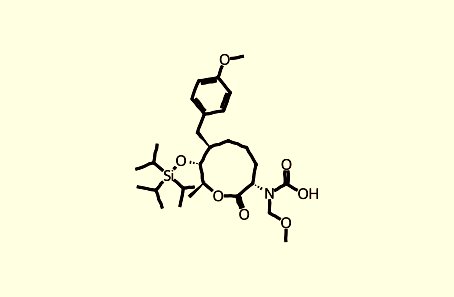 COCN(C(=O)O)[C@H]1CCC[C@H](Cc2ccc(OC)cc2)[C@@H](O[Si](C(C)C)(C(C)C)C(C)C)[C@H](C)OC1=O